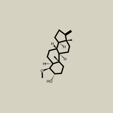 C=C1CC[C@@H]2[C@H]3CC[C@@H]4[C@H](OC)[C@@H](O)CC[C@@]4(C)[C@@H]3CC[C@@]12C